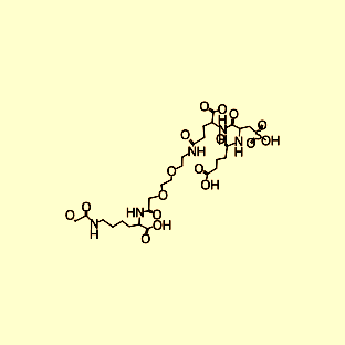 O=CC(=O)NCCCCC(NC(=O)COCCOCCNC(=O)CCC(NC(=O)C(CS(=O)(=O)O)NC(=O)CCCC(=O)O)C(=O)O)C(=O)O